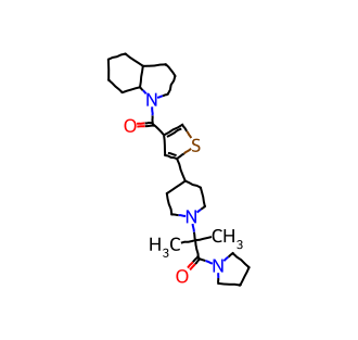 CC(C)(C(=O)N1CCCC1)N1CCC(c2cc(C(=O)N3CCCC4CCCCC43)cs2)CC1